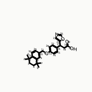 CC1(C)CCC(C)(C)c2cc(COc3ccc(C(CC(=O)O)c4cnco4)cc3)ccc21